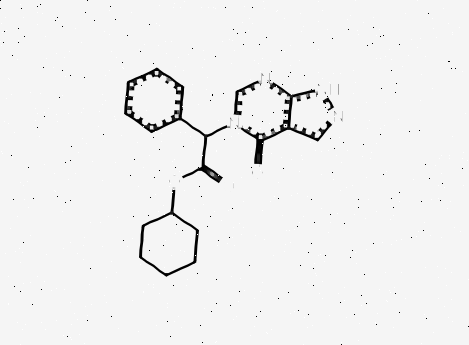 O=C(OC1CCCCC1)C(c1ccccc1)n1cnc2[nH]ncc2c1=O